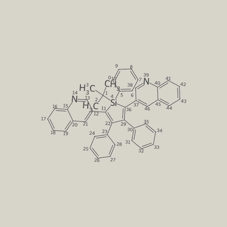 CC(C)(C)[Si]1(c2ccccc2)C(c2cnc3ccccc3c2)=C(c2ccccc2)C(c2ccccc2)=C1c1cnc2ccccc2c1